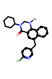 CC(=O)N1CN(C2CCCCC2)C(=O)c2cc(Cc3ccc(Cl)nc3)c3ccccc3c21